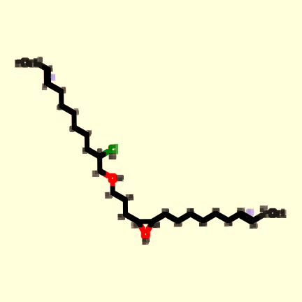 CCCCCCCC/C=C/CCCCCCC(Cl)COCCCC1OC1CCCCCC/C=C/CCCCCCCC